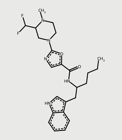 CCCCC(Cc1c[nH]c2ccccc12)NC(=O)c1cnc(N2CCN(C)C(C(F)F)C2)o1